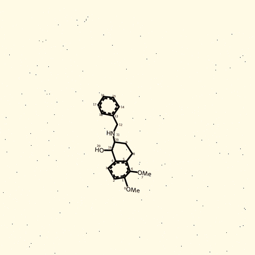 COc1ccc2c(c1OC)CCC(NCc1ccccc1)C2O